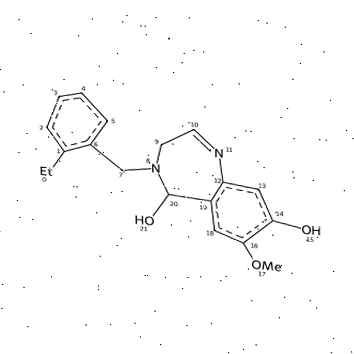 CCc1ccccc1CN1CC=Nc2cc(O)c(OC)cc2C1O